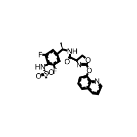 C[C@@H](NC(=O)C1COC(Oc2cccc3cccnc23)=N1)c1cc(F)c(NS(C)(=O)=O)c(F)c1